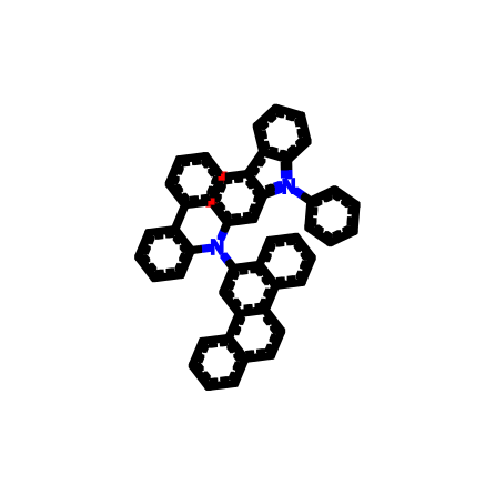 c1ccc(-c2ccccc2N(c2ccc3c4ccccc4n(-c4ccccc4)c3c2)c2cc3c4ccccc4ccc3c3ccccc23)cc1